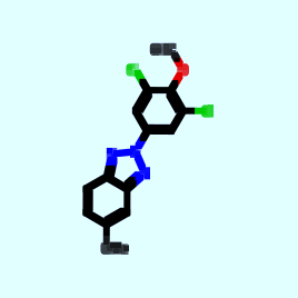 COc1ccc2nn(-c3cc(Cl)c(OC=O)c(Cl)c3)nc2c1